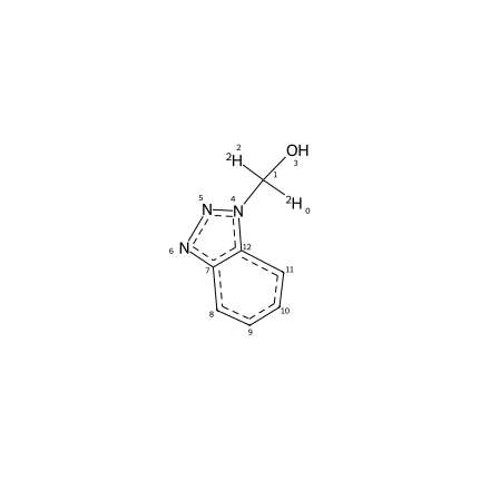 [2H]C([2H])(O)n1nnc2ccccc21